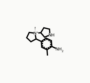 Cc1cc(C2CCC[N@@+]2(C)C2CCNC2)ccc1N